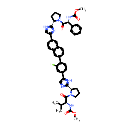 COC(=O)N[C@H](C(=O)N1CCC[C@H]1c1ncc(-c2ccc(-c3ccc4cc(-c5c[nH]c([C@@H]6CCCN6C(=O)[C@H](NC(=O)OC)c6ccccc6)n5)ccc4c3)c(F)c2)[nH]1)C(C)C